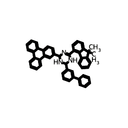 CC1(C)c2ccccc2-c2c(C3=NC(c4ccc5c6ccccc6c6ccccc6c5c4)NC(c4cccc(-c5ccccc5)c4)N3)cccc21